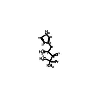 CCCC(C)(C)C(=O)C(N)Cc1c[nH]cn1